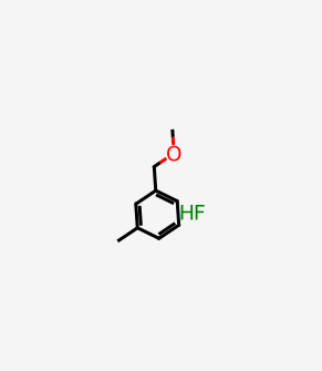 COCc1cccc(C)c1.F